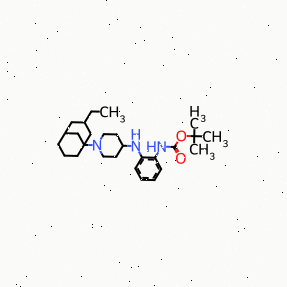 CCC1CC2CCCC(N3CCC(Nc4ccccc4NC(=O)OC(C)(C)C)CC3)(C1)C2